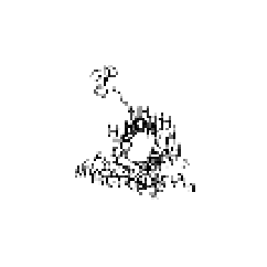 CC[C@H]1OC(=O)[C@H](C)C([C@H]2C[C@@](C)(OC)[C@@H](O)[C@H](C)O2)[C@H](C)[C@@H](O[C@@H]2O[C@H](C)C[C@H](N(C)C)[C@H]2O)[C@](C)(O)C[C@@H](C)CN(C)[C@H](C)[C@@H](OC(=O)NCCCCCC[PH](c2ccccc2)(c2ccccc2)c2ccccc2)[C@]1(C)O